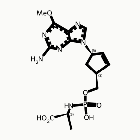 COc1nc(N)nc2c1ncn2[C@H]1C=C[C@@H](COP(=O)(O)N[C@@H](C)C(=O)O)C1